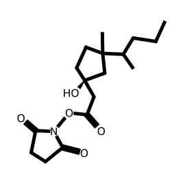 CCCC(C)C1(C)CC[C@@](O)(CC(=O)ON2C(=O)CCC2=O)C1